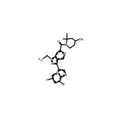 CC1(C)CC(O)CCN1C(=O)c1cc2c(cn1)c(-c1cnc3c(F)cc(F)cn13)nn2CC(F)(F)F